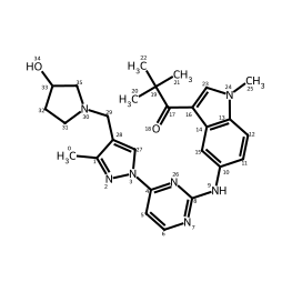 Cc1nn(-c2ccnc(Nc3ccc4c(c3)c(C(=O)C(C)(C)C)cn4C)n2)cc1CN1CCC(O)C1